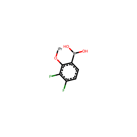 CC(C)Oc1c(B(O)O)ccc(F)c1F